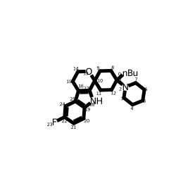 CCCCC1(N2CCCCC2)CCC2(CC1)OCCc1c2[nH]c2ccc(F)cc12